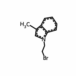 Cc1cn(CCBr)c2ccccc12